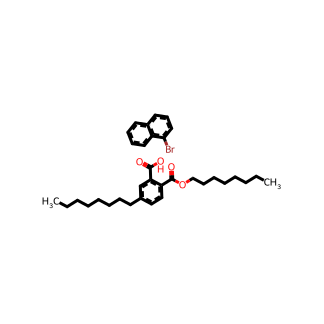 Brc1cccc2ccccc12.CCCCCCCCOC(=O)c1ccc(CCCCCCCC)cc1C(=O)O